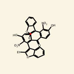 CCc1oc2ccccc2c1-c1c(C(=O)c2ccc(O)c([N+](=O)[O-])c2-c2c(CC)oc3ccccc23)ccc(O)c1[N+](=O)[O-]